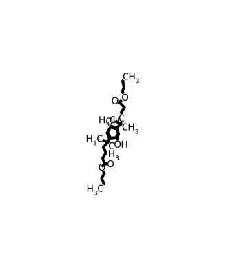 CCCCOC(=O)CCCC(C)(C)c1cc(O)c(C(C)(C)CCCC(=O)OCCCC)cc1O